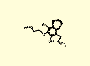 COCCOc1c(O)c(CCN)c2ccccc2c1Br